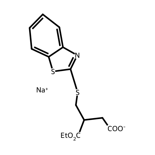 CCOC(=O)C(CSc1nc2ccccc2s1)CC(=O)[O-].[Na+]